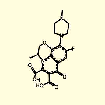 C[C@H]1COc2c(N3CCN(C)CC3)c(F)cc3c(=O)c(C(=O)O)c(C(=O)O)n1c23